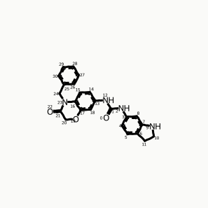 O=C(Nc1ccc2c(c1)NCC2)Nc1ccc2c(c1)OCC(=O)N2Cc1ccccc1